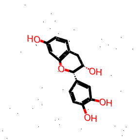 Oc1c[c]c2c(c1)O[C@@H](c1ccc(O)c(O)c1)[C@@H](O)C2